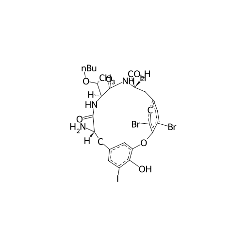 CCCCO[C@H](C)[C@@H]1NC(=O)[C@@H](N)Cc2cc(I)c(O)c(c2)Oc2c(Br)cc(cc2Br)C[C@@H](C(=O)O)NC1=O